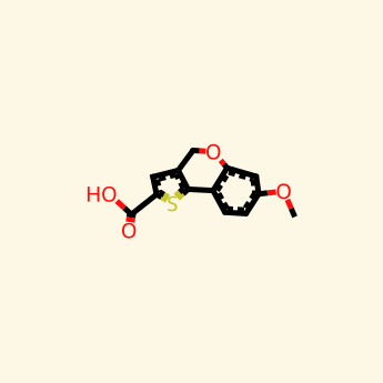 COc1ccc2c(c1)OCc1cc(C(=O)O)sc1-2